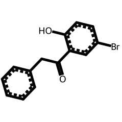 O=C(Cc1ccccc1)c1cc(Br)ccc1O